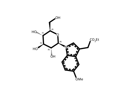 CCOC(=O)Cc1cn([C@@H]2O[C@H](CO)[C@@H](O)[C@H](O)[C@H]2O)c2ccc(OC)cc12